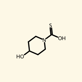 OC(=S)N1CCC(O)CC1